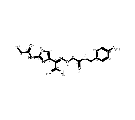 O=C(CCl)Nc1nc(C(=NOCC(=O)OCc2ccc([N+](=O)[O-])cc2)C(=O)Cl)cs1